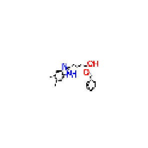 Cc1cc2nc(CCCC(O)OCc3ccccc3)[nH]c2cc1C